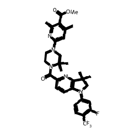 COC(=O)c1c(C)cc(N2CCN(C(=O)c3ccc4c(n3)C(C)(C)CN4c3ccc(C(F)(F)F)c(F)c3)C(C)(C)C2)nc1C